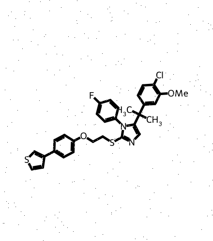 COc1cc(C(C)(C)c2cnc(SCCOc3ccc(-c4ccsc4)cc3)n2-c2ccc(F)cc2)ccc1Cl